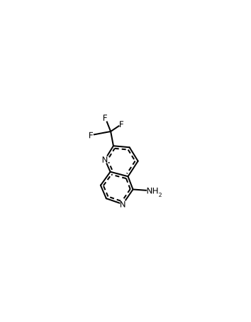 Nc1nccc2nc(C(F)(F)F)ccc12